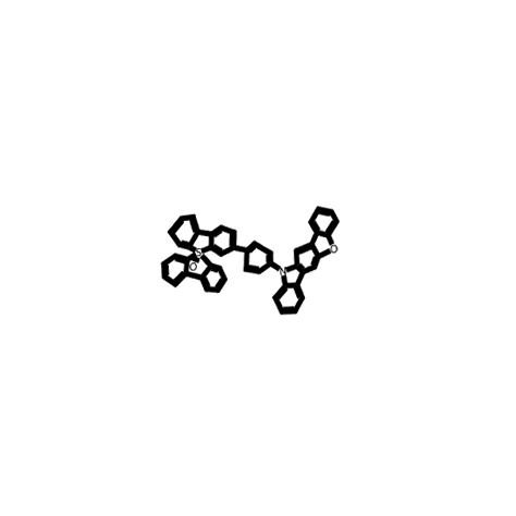 O=S12(c3ccccc3-c3ccccc31)c1ccccc1-c1ccc(-c3ccc(-n4c5ccccc5c5cc6oc7ccccc7c6cc54)cc3)cc12